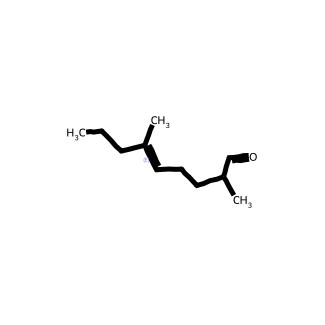 CCC/C(C)=C/CCC(C)C=O